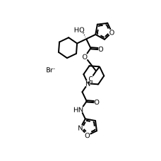 O=C(C[N+]12CCC(CC1)C(OC(=O)[C@](O)(c1ccoc1)C1CCCCC1)C2)Nc1ccon1.[Br-]